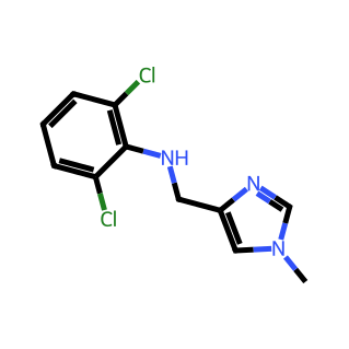 Cn1cnc(CNc2c(Cl)cccc2Cl)c1